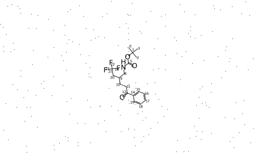 CC(C)(C)OC(=O)NCC(CCC(=O)c1ccccc1)CC(F)(F)F